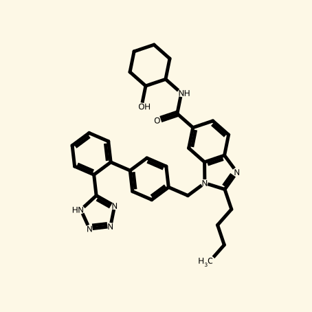 CCCCc1nc2ccc(C(=O)NC3CCCCC3O)cc2n1Cc1ccc(-c2ccccc2-c2nnn[nH]2)cc1